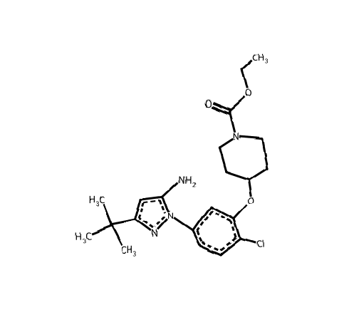 CCOC(=O)N1CCC(Oc2cc(-n3nc(C(C)(C)C)cc3N)ccc2Cl)CC1